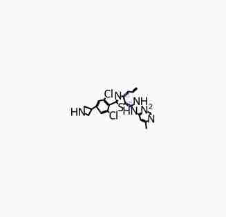 C=C/C=c1/nc(-c2c(Cl)cc(C3CNC3)cc2Cl)s/c1=C(/N)Nc1cc(C)ncn1